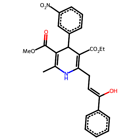 CCOC(=O)C1=C(C/C=C(\O)c2ccccc2)NC(C)=C(C(=O)OC)C1c1cccc([N+](=O)[O-])c1